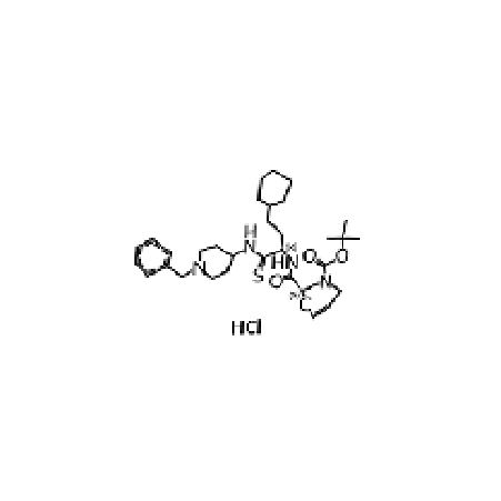 CC(C)(C)OC(=O)N1CC=CC[C@H]1C(=O)N[C@H](CCC1CCCCC1)C(=S)NC1CCN(Cc2ccccc2)CC1.Cl